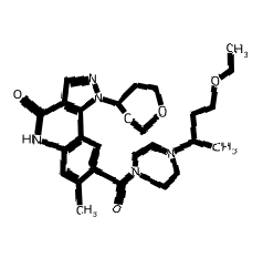 CCOCCC(C)N1CCN(C(=O)c2cc3c(cc2C)[nH]c(=O)c2cnn(C4CCOCC4)c23)CC1